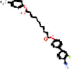 Cc1ccc(OC(=O)CCCCCCCCCC(=O)Oc2ccc(-c3ccc(C#N)c(F)c3)cc2)cc1